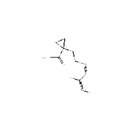 C/C=C(C)\N=N/CCC1(C(=O)OC)CC1